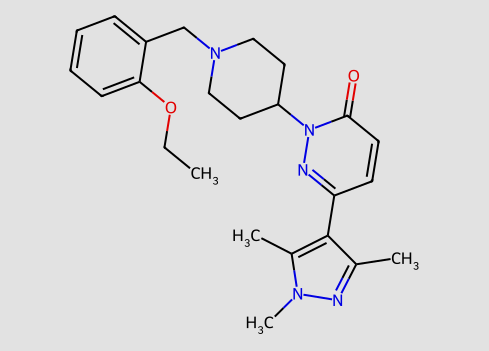 CCOc1ccccc1CN1CCC(n2nc(-c3c(C)nn(C)c3C)ccc2=O)CC1